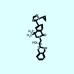 CC1(C)CN(C[C@@H](O)[C@@H]2Cc3ccccc3CN2)C(=O)c2ccc(-c3ncnn3C3CC3)cc21